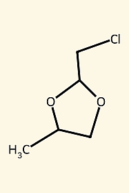 CC1COC(CCl)O1